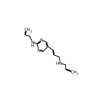 C=CCNC/C=C/c1cnc(NCC=C)nc1